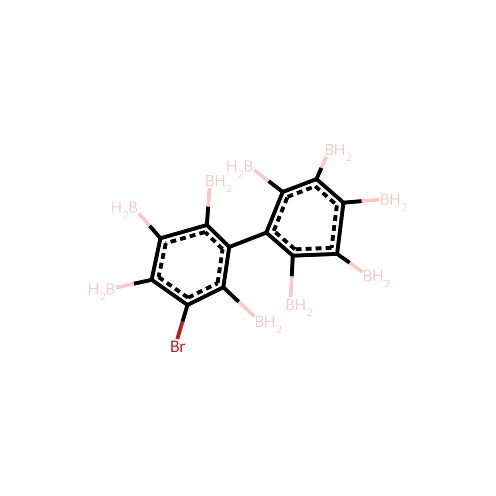 Bc1c(B)c(B)c(-c2c(B)c(B)c(B)c(Br)c2B)c(B)c1B